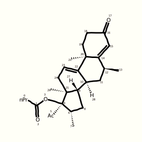 CCCC(=O)O[C@]1(C(C)=O)[C@@H](C)C[C@H]2[C@@H]3C[C@H](C)C4=CC(=O)CC[C@]4(C)C3=CC[C@@]21C